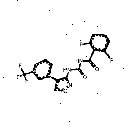 O=C(NC(=O)c1c(F)cccc1F)Nc1nocc1-c1cccc(C(F)(F)F)c1